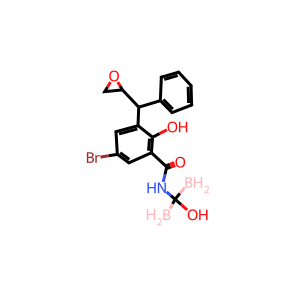 BC(B)(O)NC(=O)c1cc(Br)cc(C(c2ccccc2)C2CO2)c1O